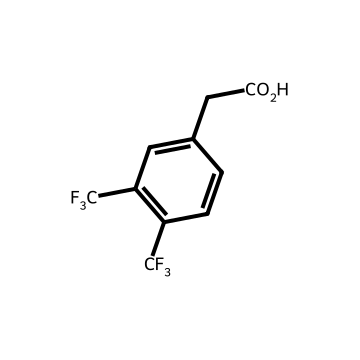 O=C(O)Cc1ccc(C(F)(F)F)c(C(F)(F)F)c1